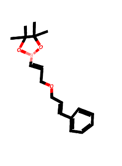 CC1(C)OB(/C=C/COC/C=C/c2ccccc2)OC1(C)C